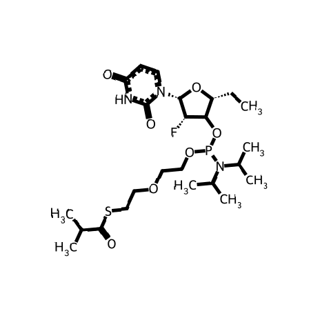 CC[C@H]1O[C@@H](n2ccc(=O)[nH]c2=O)[C@@H](F)C1OP(OCCOCCSC(=O)C(C)C)N(C(C)C)C(C)C